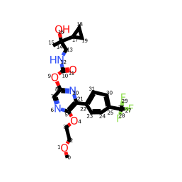 COCCOc1ncc(OC(=O)NCC(C)(O)C2CC2)nc1-c1ccc(C(F)(F)F)cc1